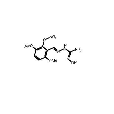 COc1ccc(OC)c(O[N+](=O)[O-])c1C=NNC(N)=NO